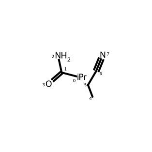 CC(C)C(N)=O.CCC#N